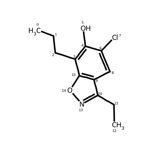 CCCc1c(O)c(Cl)cc2c(CC)noc12